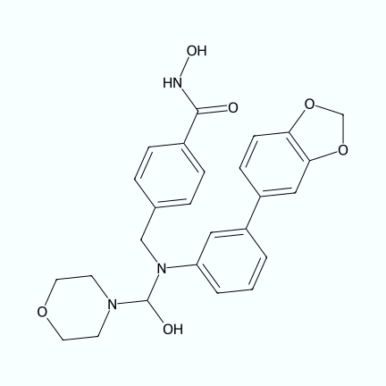 O=C(NO)c1ccc(CN(c2cccc(-c3ccc4c(c3)OCO4)c2)C(O)N2CCOCC2)cc1